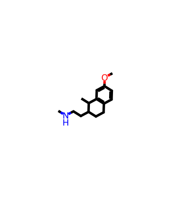 CNCCC1CCc2ccc(OC)cc2C1C